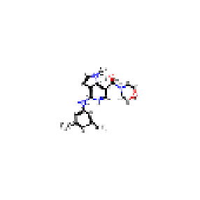 Cn1ccc2c(Nc3cc(C(F)(F)F)cc(C(F)(F)F)c3)ncc(C(=O)N3CCOCC3)c21